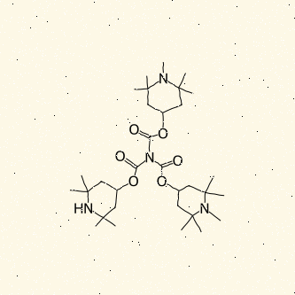 CN1C(C)(C)CC(OC(=O)N(C(=O)OC2CC(C)(C)NC(C)(C)C2)C(=O)OC2CC(C)(C)N(C)C(C)(C)C2)CC1(C)C